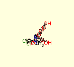 CN(C(=O)Cc1ccc(Cl)c(Cl)c1)[C@H](CN1CC[C@H](OCCOCCOCCO)C1)c1ccc(OCCO)cc1